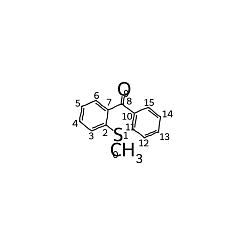 CSc1ccccc1C(=O)c1ccccc1